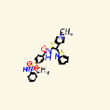 Cc1ccccc1NS(=O)(=O)c1ccc(C(=O)Nc2sc3c(c2-c2nc4ccccc4s2)CCN(C)C3)cc1